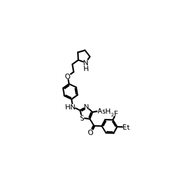 CCc1ccc(C(=O)c2sc(Nc3ccc(OCCC4CCCN4)cc3)nc2[AsH2])cc1F